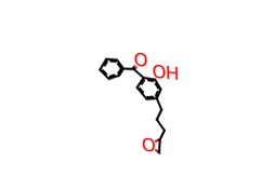 O=C(c1ccccc1)c1ccc(CCCC2CO2)cc1O